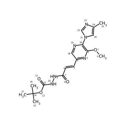 COc1nc(C=CC(=O)NNC(=O)OC(C)(C)C)cnc1-n1cnc(C)c1